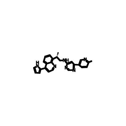 Cc1ccc(-c2cc(NC[C@@H](C)c3cccc4c(-c5ccc[nH]5)ccnc34)ncn2)cn1